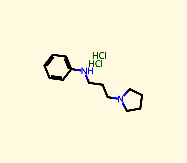 Cl.Cl.c1ccc(NCCCN2CCCC2)cc1